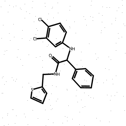 O=C(NCc1cccs1)C(Nc1ccc(Cl)c(Cl)c1)c1ccccc1